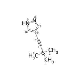 CS(C)(C)C#Cc1cn[nH]c1